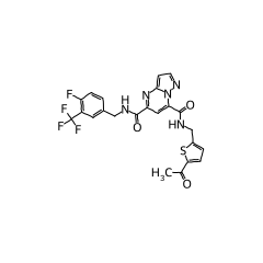 CC(=O)c1ccc(CNC(=O)c2cc(C(=O)NCc3ccc(F)c(C(F)(F)F)c3)nc3ccnn23)s1